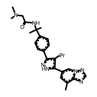 Cc1cc(-c2[nH]nc(-c3ccc(C(C)(C)NC(=O)CN(C)C)cc3)c2C(C)C)cn2ncnc12